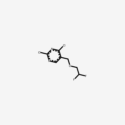 FC(F)COCc1cnc(Cl)nc1Cl